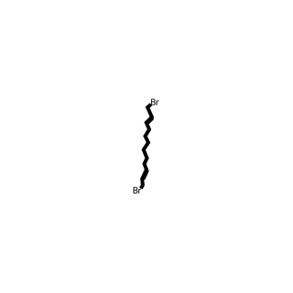 BrCC=CCCCCCCC=CCBr